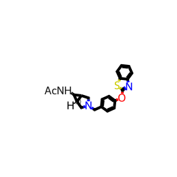 CC(=O)NC1C2CN(Cc3ccc(Oc4nc5ccccc5s4)cc3)C[C@H]21